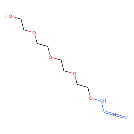 [N-]=[N+]=NNOCCOCCOCCOCCO